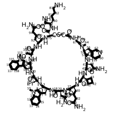 CC(C)[C@@H]1NC(=O)[C@H](Cc2cn(C)c3ccccc23)NC(=O)[C@H](CC(N)=O)N(C)C(=O)[C@H](CCCC(N)=O)NC(=O)[C@H](C2CCC2)NC(=O)[C@H](CC(N)=O)NC(=O)[C@H](Cc2cccnc2)N(C)C(=O)[C@@H](C)NC(=O)CSC[C@@H](C(=O)N[C@H](CCCCN)C(N)=O)NC(=O)[C@H](CCCC(N)=O)NC(=O)[C@H]([C@@H](C)O)NC(=O)[C@H](Cc2cn(C)c3ccccc23)NC1=O